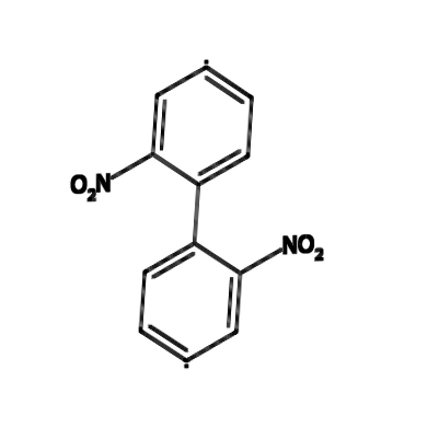 O=[N+]([O-])c1c[c]ccc1-c1cc[c]cc1[N+](=O)[O-]